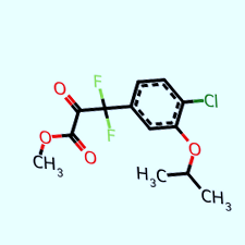 COC(=O)C(=O)C(F)(F)c1ccc(Cl)c(OC(C)C)c1